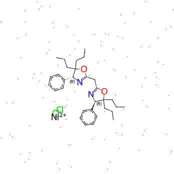 CCCC1(CCC)OC(CC2=N[C@H](c3ccccc3)C(CCC)(CCC)O2)=N[C@@H]1c1ccccc1.[Cl-].[Cl-].[Ni+2]